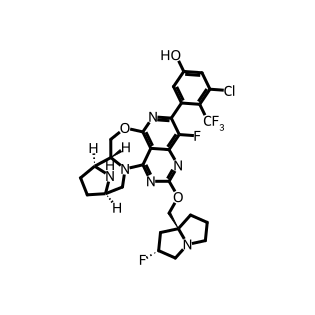 Oc1cc(Cl)c(C(F)(F)F)c(-c2nc3c4c(nc(OC[C@@]56CCCN5C[C@H](F)C6)nc4c2F)N2C[C@H]4CC[C@H](N4)[C@@H]2CO3)c1